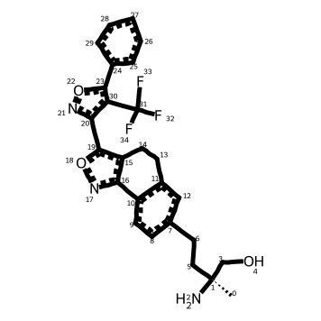 C[C@@](N)(CO)CCc1ccc2c(c1)CCc1c-2noc1-c1noc(-c2ccccc2)c1C(F)(F)F